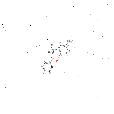 CC(C)c1ccc(OCc2ccccc2)c(N(C)C)c1